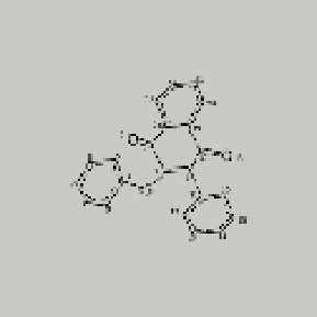 O=C1C(Sc2ccccc2)=C(c2ccccc2)C(=O)c2ccccc21